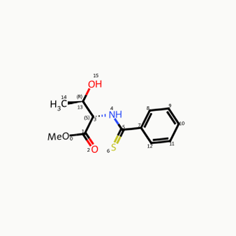 COC(=O)[C@@H](NC(=S)c1ccccc1)[C@@H](C)O